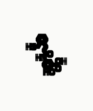 O=C(CCc1ccccc1CS)Nc1ccc(O)c(C(=O)O)c1